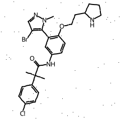 Cn1ncc(Br)c1-c1cc(NC(=O)C(C)(C)c2ccc(Cl)cc2)ccc1OCCC1CCCN1